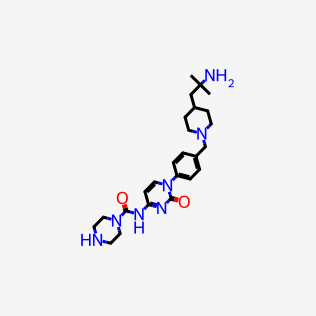 CC(C)(N)CC1CCN(Cc2ccc(-n3ccc(NC(=O)N4CCNCC4)nc3=O)cc2)CC1